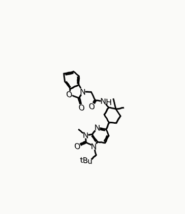 Cn1c(=O)n(CC(C)(C)C)c2ccc(C3CCC(C)(C)C(NC(=O)Cn4c(=O)oc5ccccc54)C3)nc21